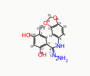 CC(C)c1cc(/C(=N/N)Nc2ccc3c(c2)OCO3)c(O)cc1O